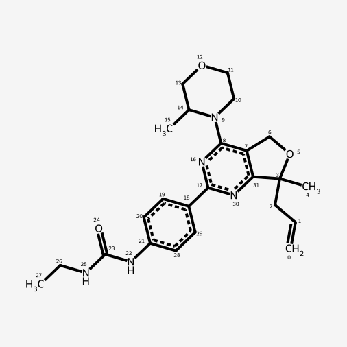 C=CCC1(C)OCc2c(N3CCOCC3C)nc(-c3ccc(NC(=O)NCC)cc3)nc21